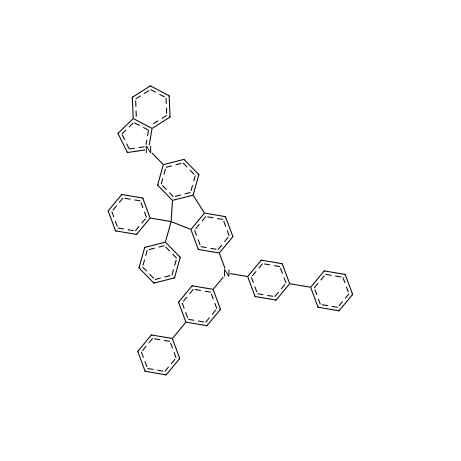 c1ccc(-c2ccc(N(c3ccc(-c4ccccc4)cc3)c3ccc4c(c3)C(c3ccccc3)(c3ccccc3)c3cc(-n5ccc6ccccc65)ccc3-4)cc2)cc1